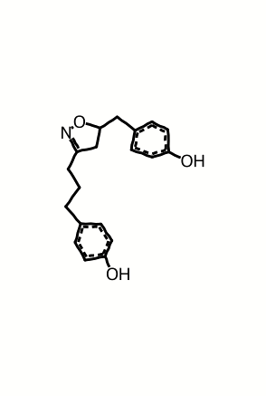 Oc1ccc(CCCC2=NOC(Cc3ccc(O)cc3)C2)cc1